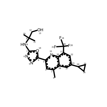 Cc1cc(-c2nnc(NC(C)(C)CO)o2)nc2c(C(F)(F)F)cc(C3CC3)cc12